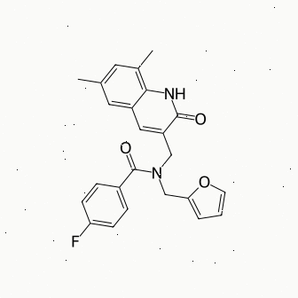 Cc1cc(C)c2[nH]c(=O)c(CN(Cc3ccco3)C(=O)c3ccc(F)cc3)cc2c1